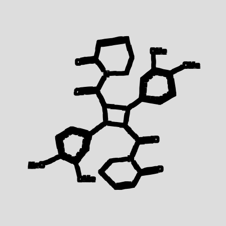 COc1ccc(C2C(C(=O)N3CCC=CC3=O)C(c3ccc(OC)c(OC)c3)C2C(=O)N2CCC=CC2=O)cc1OC